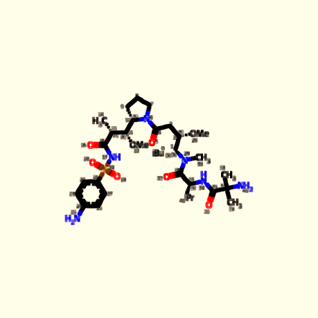 CC[C@H](C)[C@@H]([C@H](CC(=O)N1CCC[C@H]1[C@H](OC)[C@@H](C)C(=O)NS(=O)(=O)c1ccc(N)cc1)OC)N(C)C(=O)[C@@H](NC(=O)C(C)(C)N)C(C)C